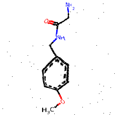 COc1ccc(CNC(=O)CN)cc1